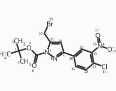 CC(C)(C)OC(=O)n1nc(-c2ccc(Cl)c([N+](=O)[O-])c2)cc1CBr